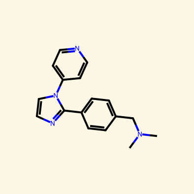 CN(C)Cc1ccc(-c2nccn2-c2ccncc2)cc1